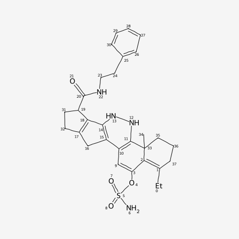 CCC1=C2C(OS(N)(=O)=O)=CC3=C(NNC4=C3CC3=C4C(C(=O)NCCc4ccccc4)CC3)C2(C)CCC1